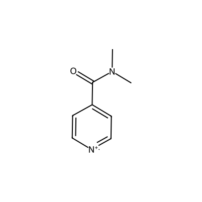 CN(C)C(=O)C1=CC=[N+]C=C1